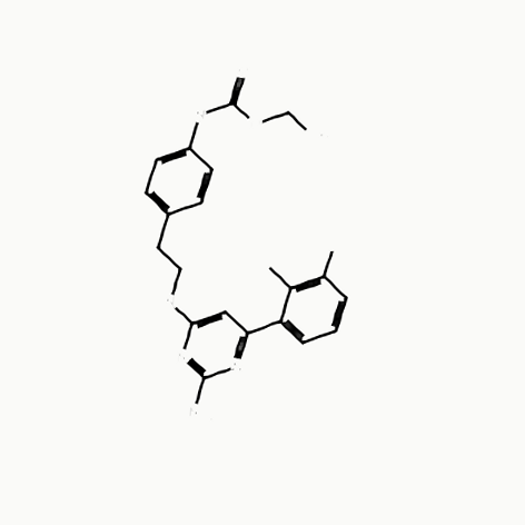 Cc1c(Cl)cccc1-c1cc(NCCc2ccc(NC(=O)OCC(C)(C)C)cc2)nc(N)n1